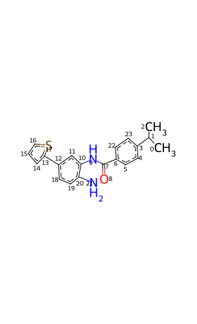 CC(C)c1ccc(C(=O)Nc2cc(-c3cccs3)ccc2N)cc1